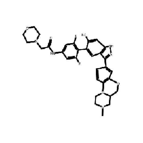 CN1CCN2c3ccc(-c4n[nH]c5cc(C#N)c(-c6c(F)cc(NC(=O)CN7CCOCC7)cc6F)cc45)cc3OCC2C1